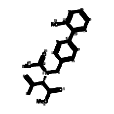 C=C(C)[C@@H](C(=O)OC)N(Cc1ccc(-c2ccccc2C#N)cc1)C(=O)CCCC